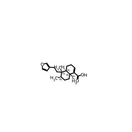 C[C@@H]1CC[C@@]2(C)C(C(=O)O)=CCC[C@@H]2[C@@]1(C)CCc1ccoc1